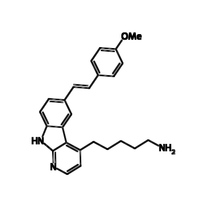 COc1ccc(C=Cc2ccc3[nH]c4nccc(CCCCCN)c4c3c2)cc1